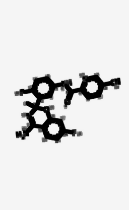 CC1(c2cc(NC(=O)c3ccc(C#N)cn3)ccc2F)N=C(N)c2ccc(F)cc2O1